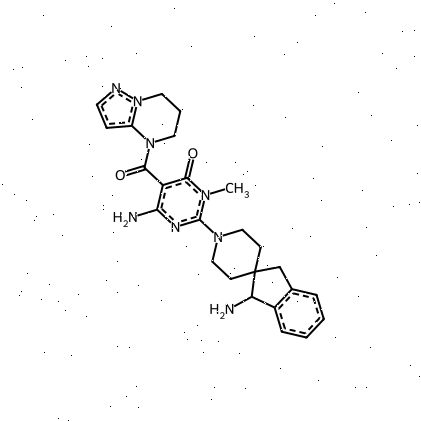 Cn1c(N2CCC3(CC2)Cc2ccccc2C3N)nc(N)c(C(=O)N2CCCn3nccc32)c1=O